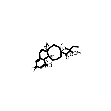 CCC(=O)O[C@@]1(C(=O)CO)CC[C@H](O)[C@@]2(F)[C@@H](CCC3=CC(=O)C=C[C@@]32C)[C@@H](C)C[C@@H]1C